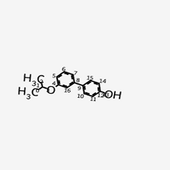 CC(C)Oc1cccc(-c2ccc(O)cc2)c1